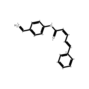 C=Cc1ccc(OC(=O)/C=C\C=C\c2ccccc2)cc1